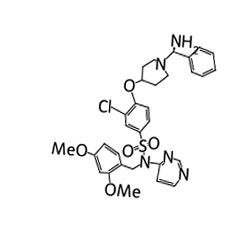 COc1ccc(CN(c2ccncn2)S(=O)(=O)c2ccc(OC3CCN([C@@H](N)c4ccccc4)CC3)c(Cl)c2)c(OC)c1